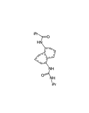 CC(C)NC(=O)Nc1cccc2c(NC(=O)C(C)C)cccc12